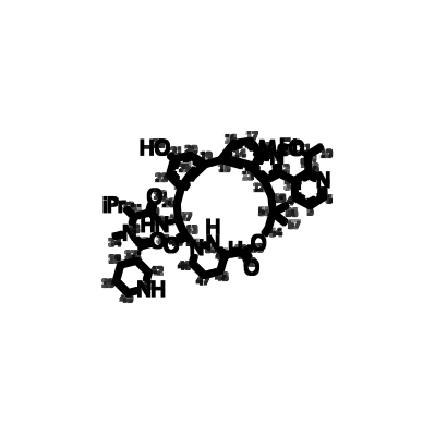 CCn1c(-c2cccnc2[C@H](C)OC)c2c3cc(ccc31)-c1cc(O)cc(c1)C[C@H](NC(=O)C(C(C)C)N(C)C(=O)[C@H]1CCCNC1)C(=O)N1CCC[C@H](N1)C(=O)OCC(C)(C)C2